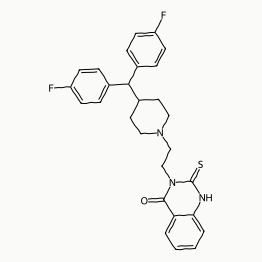 O=c1c2ccccc2[nH]c(=S)n1CCN1CCC(C(c2ccc(F)cc2)c2ccc(F)cc2)CC1